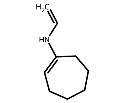 C=CNC1=CCCCCC1